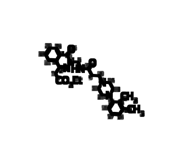 CCOC(=O)Cc1nn(CNC(=O)CCN2CCN(c3cccc(C)c3C)CC2)c(=O)c2ccccc12